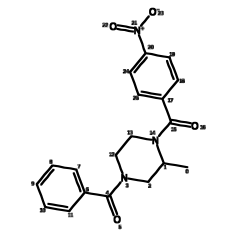 CC1CN(C(=O)c2ccccc2)CCN1C(=O)c1ccc([N+](=O)[O-])cc1